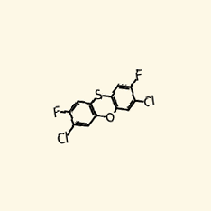 Fc1cc2c(cc1Cl)Oc1cc(Cl)c(F)cc1S2